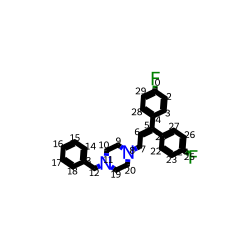 Fc1ccc(C(=CCN2CCN(Cc3ccccc3)CC2)c2ccc(F)cc2)cc1